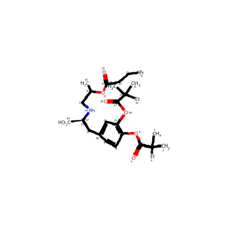 CCC(C)(C)C(=O)Oc1ccc(C[C@H](NCC(C)OC(=O)CCC(C)C)C(=O)O)cc1OC(=O)C(C)(C)CC